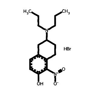 Br.CCCN(CCC)C1CCc2c(ccc(O)c2[N+](=O)[O-])C1